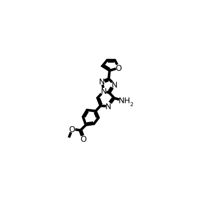 COC(=O)c1ccc(-c2cn3nc(-c4ccco4)nc3c(N)n2)cc1